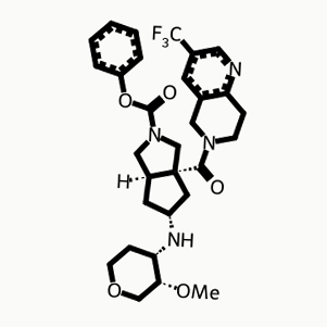 CO[C@@H]1COCC[C@@H]1N[C@@H]1C[C@H]2CN(C(=O)Oc3ccccc3)C[C@@]2(C(=O)N2CCc3ncc(C(F)(F)F)cc3C2)C1